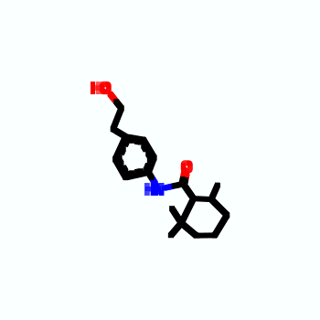 CC1CCCC(C)(C)C1C(=O)Nc1ccc(CCO)cc1